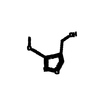 COc1nocc1CO